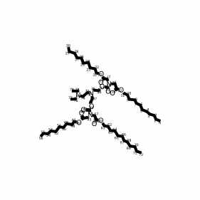 CCCCCCCCCCCCOC(=O)CN(CC(=O)OCCCCCCCCCC)C(=O)OCCN(CCOC(=O)N(CC(=O)OCCCCCCCCCC)CC(=O)OCCCCCCCCCCCC)CCN(CC)CC